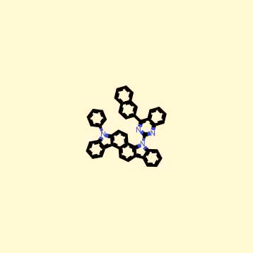 c1ccc(-n2c3ccccc3c3c4ccc5c6ccccc6n(-c6nc(-c7ccc8ccccc8c7)c7ccccc7n6)c5c4ccc32)cc1